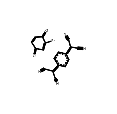 N#CC(C#N)=c1ccc(=C(C#N)C#N)cc1.O=C1C=CC(=O)C(Br)=C1